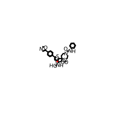 O=C(CC1(c2ccc(-c3ccc(-c4cnco4)cc3)s2)CCN(C(=O)Nc2ccccc2)CCS1(=O)=O)NO